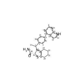 CC(c1ccc(-c2ncnc3[nH]ccc23)cc1)N1C2=C(CCCC2)S[C@@H]1C(N)=O